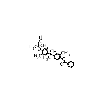 CCC(C)(C)Oc1ccc(C(C)(C)c2ccc(OC(=O)c3ccccc3)c(C)c2)cc1C